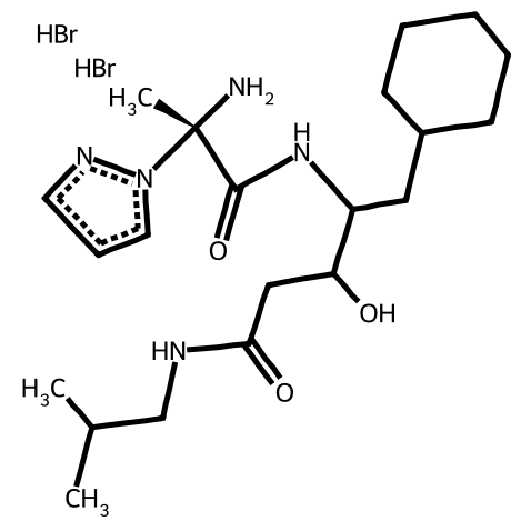 Br.Br.CC(C)CNC(=O)CC(O)C(CC1CCCCC1)NC(=O)[C@@](C)(N)n1cccn1